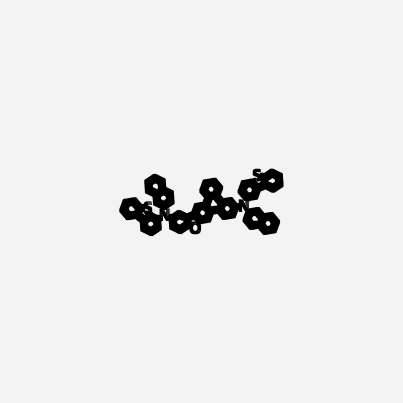 c1ccc2cc(N(c3ccc4sc5ccccc5c4c3)c3ccc4c(c3)c3ccccc3c3cc5c(cc43)oc3ccc(N(c4ccc6ccccc6c4)c4cccc6c4sc4ccccc46)cc35)ccc2c1